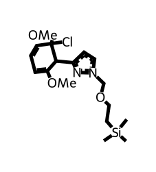 COC1=CC=CC(Cl)(OC)C1c1ccn(COCC[Si](C)(C)C)n1